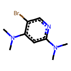 CN(C)c1cc(N(C)C)c(Br)cn1